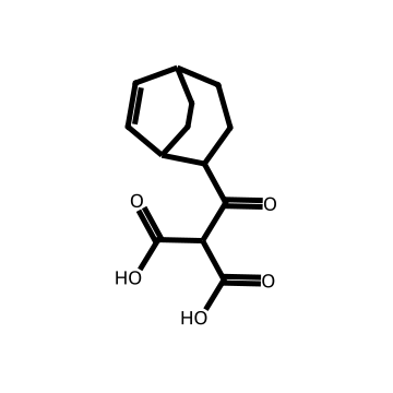 O=C(O)C(C(=O)O)C(=O)C1CCC2C=CC1CC2